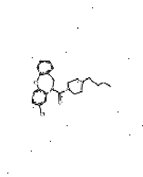 CCCCN1CCN(C(=O)N2Cc3ccccc3Oc3ccc(Cl)cc32)CC1